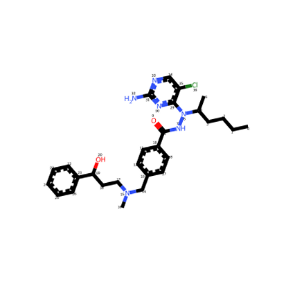 CCCCC(C)N(NC(=O)c1ccc(CN(C)CCC(O)c2ccccc2)cc1)c1nc(N)ncc1Cl